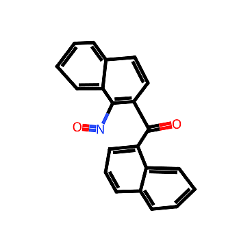 O=Nc1c(C(=O)c2cccc3ccccc23)ccc2ccccc12